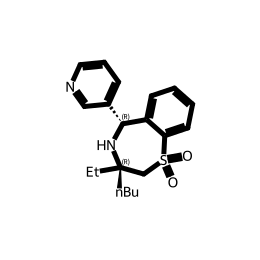 CCCC[C@]1(CC)CS(=O)(=O)c2ccccc2[C@@H](c2cccnc2)N1